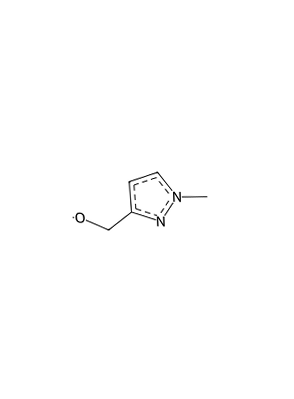 Cn1ccc(C[O])n1